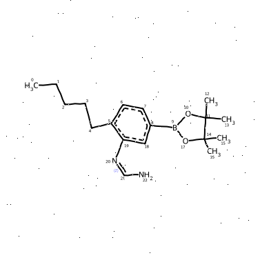 CCCCCc1ccc(B2OC(C)(C)C(C)(C)O2)cc1/N=C\N